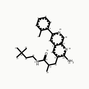 Cc1ccccc1-c1cc2cc(CC(C)C(=O)NCCC(C)(C)C)c(N)nc2cn1